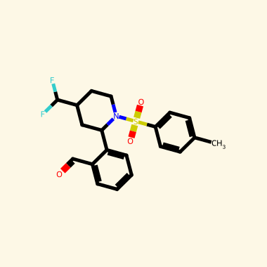 Cc1ccc(S(=O)(=O)N2CCC(C(F)F)CC2c2ccccc2C=O)cc1